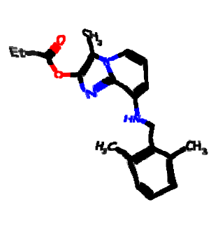 CCC(=O)Oc1nc2c(NCc3c(C)cccc3C)cccn2c1C